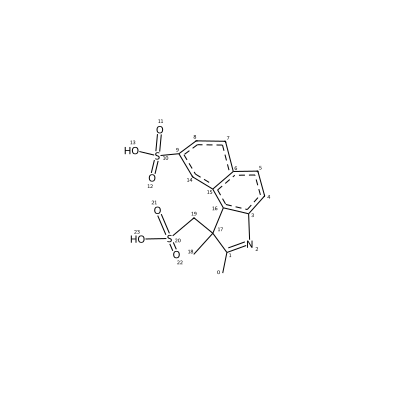 CC1=Nc2ccc3ccc(S(=O)(=O)O)cc3c2C1(C)CS(=O)(=O)O